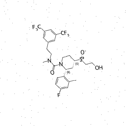 Cc1cc(F)ccc1[C@H]1C[C@@H]([S@+]([O-])CCO)CCN1C(=O)N(C)CCc1cc(C(F)(F)F)cc(C(F)(F)F)c1